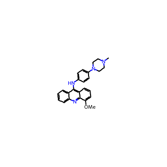 COc1cccc2c(Nc3ccc(N4CCN(C)CC4)cc3)c3ccccc3nc12